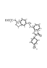 CCOC(=O)C[C@@H]1CCc2cc(OCc3cccc4c3CN(c3ccc(C(F)(F)F)cc3)C4=O)ccc21